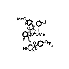 COC(=O)N[C@H](C(=O)Nc1cccc(F)c1CCC[C@H]1CNC[C@H](C)N1S(=O)(=O)c1ccc(OC(F)(F)F)cc1)[C@@H](c1ccc(Cl)cc1)c1ccc(OC)nc1